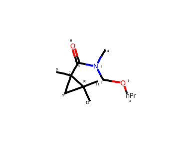 CCCOCN(C)C(=O)C1(C)CC1(C)C